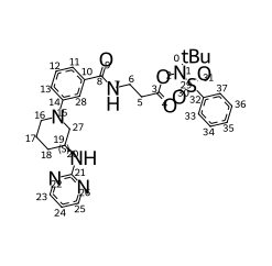 CC(C)(C)N(OC(=O)CCNC(=O)c1cccc(N2CCC[C@H](Nc3ncccn3)C2)c1)S(=O)(=O)c1ccccc1